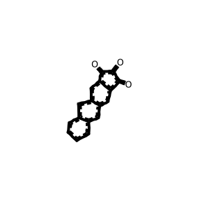 O=c1c(=O)c2cc3cc4ccccc4cc3cc2c1=O